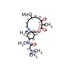 COC1CCCN(C)C2(CCC(N(C)C(=O)CN(C)C)CC2)COC(=O)C(C)C(=O)CC1